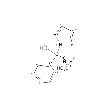 CC(C)(c1ccccc1)n1ccnc1.O=C(O)O